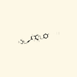 O=C(O)c1ccc(Cn2ncc3ncc(C#CCn4cncn4)nc3c2=O)cc1